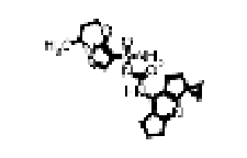 CC1CCOc2c(S(N)(=O)=NC(=O)Nc3c4c(nc5c3CCC53CC3)CCC4)cnn21